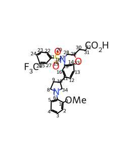 COc1ccccc1N1CCC(c2ccc3c(c2)N(S(=O)(=O)c2cccc(C(F)(F)F)c2)CC(CCC(=O)O)O3)C1